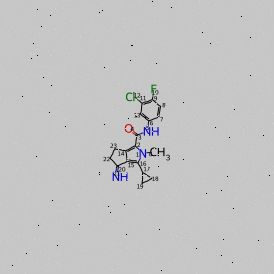 Cn1c(C(=O)Nc2ccc(F)c(Cl)c2)c2c(c1C1CC1)C(=N)CC2